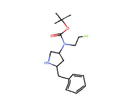 CC(C)(C)OC(=O)N(CCF)C1CNC(Cc2ccccc2)C1